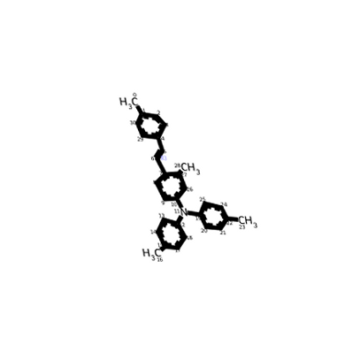 Cc1ccc(/C=C/c2ccc(N(c3ccc(C)cc3)c3ccc(C)cc3)cc2C)cc1